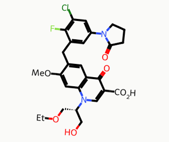 CCOC[C@@H](CO)n1cc(C(=O)O)c(=O)c2cc(Cc3cc(N4CCCC4=O)cc(Cl)c3F)c(OC)cc21